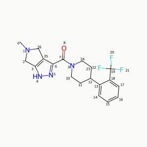 CN1Cc2[nH]nc(C(=O)N3CCC(c4ccccc4C(F)(F)F)CC3)c2C1